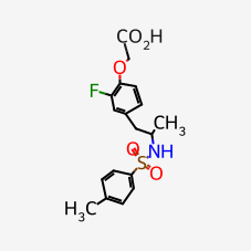 Cc1ccc(S(=O)(=O)NC(C)Cc2ccc(OCC(=O)O)c(F)c2)cc1